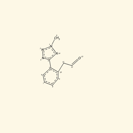 Cn1nnc(-c2ccccc2CC=O)n1